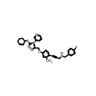 Cc1cc(OCc2nnc(SC3C=CCCC3)n2-c2cccnc2)ccc1C#CCNCc1ccc(F)cc1